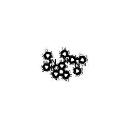 c1ccc(-c2nc(-c3cc(-n4c5ccccc5c5cc6c7ccccc7n(-c7ccccc7)c6cc54)cc4c5ccccc5c5ccccc5c34)nc3ccccc23)cc1